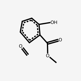 C=O.COC(=O)c1ccccc1O